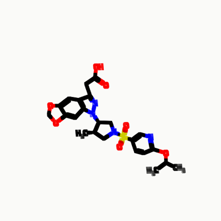 CC(C)Oc1ccc(S(=O)(=O)N2C[C@@H](C)[C@@H](n3nc(CC(=O)O)c4cc5c(cc43)OCO5)C2)cn1